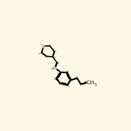 CCCc1cccc(OCC2CCOCC2)c1